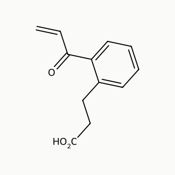 C=CC(=O)c1ccccc1CCC(=O)O